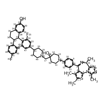 Cc1sc2c(c1C)C(c1ccc(N3CCC(O)(CN4CCC(c5cc(F)c(C6c7ccc(O)cc7CCC6c6ccc(F)cc6)c(F)c5)CC4)CC3)cc1)=N[C@@H](C)c1nnc(C)n1-2